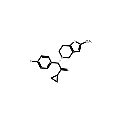 CC(=O)Oc1cc2c(s1)CCN([C@H](C(=O)C1CC1)c1ccc(F)cc1)C2